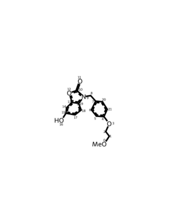 COCCOc1ccc(Cn2c(=O)oc3cc(O)ccc32)cc1